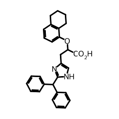 O=C(O)C(Cc1c[nH]c(C(c2ccccc2)c2ccccc2)n1)Oc1cccc2c1CCCC2